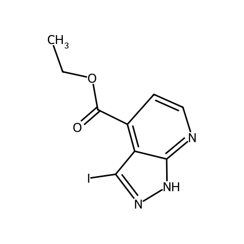 CCOC(=O)c1ccnc2[nH]nc(I)c12